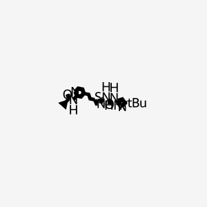 CC(C)(C)c1cc(NC(=O)Nc2ncc(CCc3ccnc(NC(=O)C4CC4)c3)s2)[nH]n1